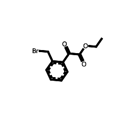 CCOC(=O)C(=O)c1ccccc1CBr